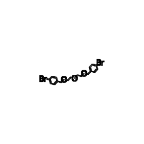 Brc1ccc(COCCOCCOCc2ccc(Br)cc2)cc1